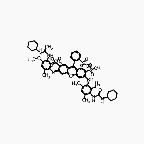 C=C(Nc1c(OC)cc(C)c(/N=c2/cc3oc4cc(Nc5c(C)cc(C)c(NC(=O)NC6CCCCC6)c5C)c(S(=O)(=O)O)cc4c(-c4ccccc4S(=O)(=O)O)c-3cc2S(=O)(=O)O)c1C)NC1CCCCC1